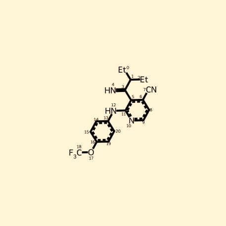 CCC(CC)C(=N)c1c(C#N)ccnc1Nc1ccc(OC(F)(F)F)cc1